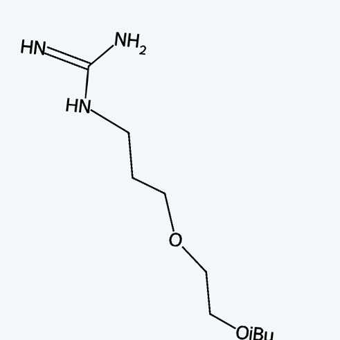 CC(C)COCCOCCCNC(=N)N